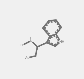 CC(=O)CC(NC(C)C)c1c[nH]c2ccccc12